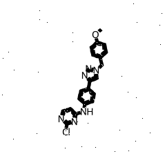 COc1ccc(Cn2cc(-c3ccc(Nc4ccnc(Cl)n4)cc3)nn2)cc1